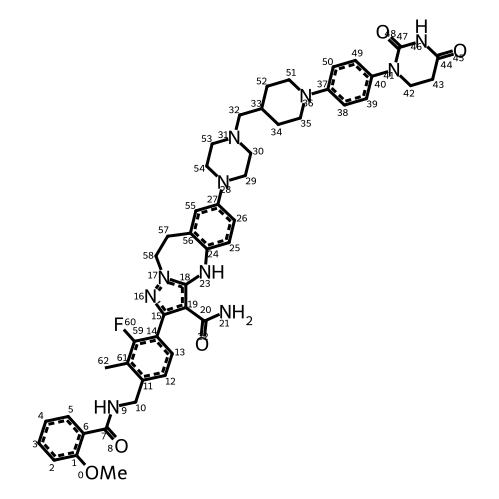 COc1ccccc1C(=O)NCc1ccc(-c2nn3c(c2C(N)=O)Nc2ccc(N4CCN(CC5CCN(c6ccc(N7CCC(=O)NC7=O)cc6)CC5)CC4)cc2CC3)c(F)c1C